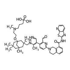 C/C(NCC1(C)CC2(C)CC(C)(C)CC(OCCN(C)CCCP(=O)(O)O)(C1)C2)=C(/C=N)c1ccc(N2CCc3cccc(C(=O)Nc4nc5cccnc5s4)c3C2)nc1C=O